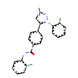 O=C(Nc1ccccc1Cl)c1ccc(-c2cc(C(F)(F)F)nn2-c2ccccc2Cl)cc1